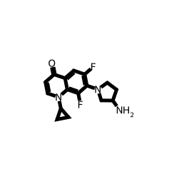 NC1CCN(c2c(F)cc3c(=O)ccn(C4CC4)c3c2F)C1